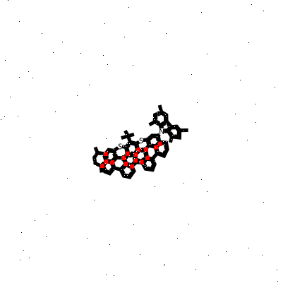 Cc1cc(C)c2c(c1)c1cc(C)cc(C)c1n2-c1ccc2c(c1)Sc1c(cc3c(c1C(C)(C)C)Sc1cc4c(cc1B3c1c(-c3ccccc3)cccc1-c1ccccc1)C1(C)CCC4(C)CC1)B2c1c(-c2ccccc2)cccc1-c1ccccc1